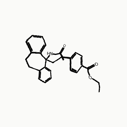 CCOC(=O)c1ccc(CCC2(NC(C)=O)c3ccccc3CCc3ccccc32)cc1